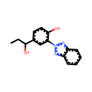 CCC(O)c1ccc(O)c(-n2nc3ccccc3n2)c1